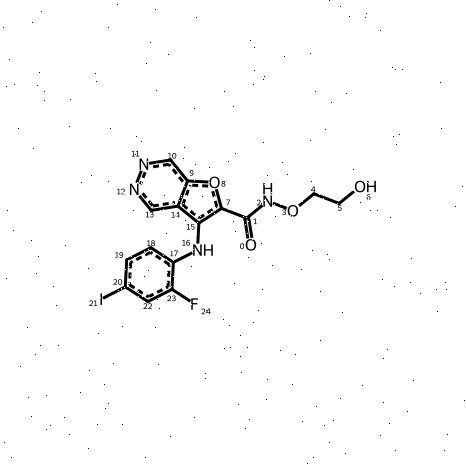 O=C(NOCCO)c1oc2cnncc2c1Nc1ccc(I)cc1F